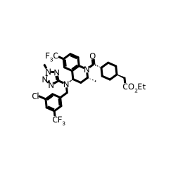 CCOC(=O)C[C@H]1CC[C@H](C(=O)N2c3ccc(C(F)(F)F)cc3[C@@H](N(Cc3cc(Cl)cc(C(F)(F)F)c3)c3nnn(C)n3)C[C@H]2C)CC1